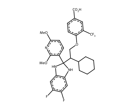 COc1ccc(C2(C(COc3ccc(C(=O)O)cc3C(F)(F)F)C3CCCCC3)Nc3cc(F)c(F)cc3N2)c(OC)n1